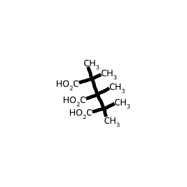 CC(C)(C(=O)O)C(C)(C(=O)O)C(C)(C)C(=O)O